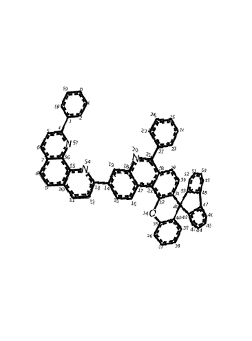 c1ccc(-c2ccc3ccc4ccc(-c5ccc6c(c5)nc(-c5ccccc5)c5ccc7c(c56)Oc5ccccc5C75c6ccccc6-c6ccccc65)nc4c3n2)cc1